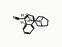 CN(C)C1CC2CCC(C1)N2c1ccc(C#N)c2ccccc12